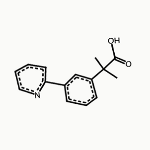 CC(C)(C(=O)O)c1cccc(-c2ccccn2)c1